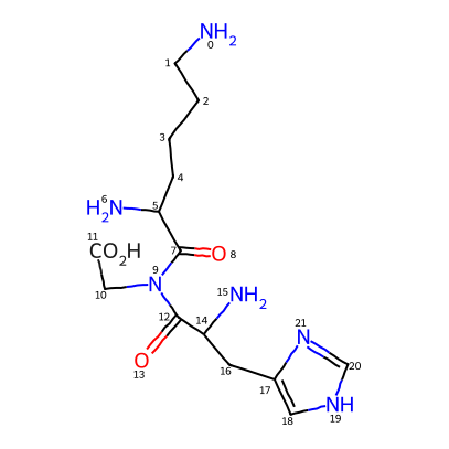 NCCCCC(N)C(=O)N(CC(=O)O)C(=O)C(N)Cc1c[nH]cn1